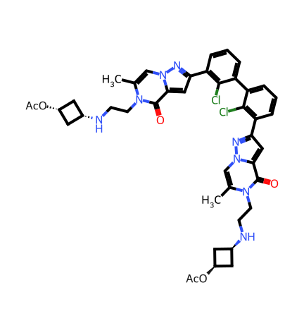 CC(=O)O[C@H]1C[C@@H](NCCn2c(C)cn3nc(-c4cccc(-c5cccc(-c6cc7c(=O)n(CCN[C@H]8C[C@@H](OC(C)=O)C8)c(C)cn7n6)c5Cl)c4Cl)cc3c2=O)C1